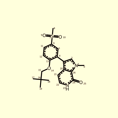 Cn1cc(-c2cc(S(C)(=O)=O)ccc2OCC(C)(C)C)c2cc[nH]c(=O)c21